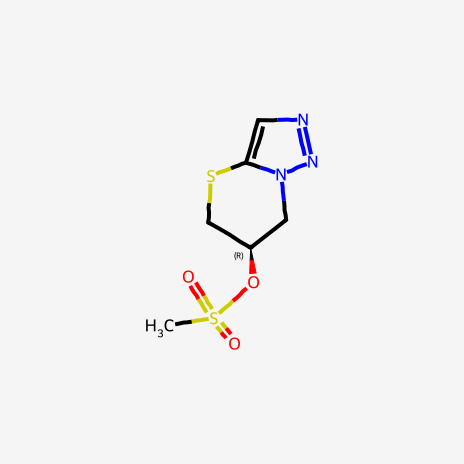 CS(=O)(=O)O[C@H]1CSc2cnnn2C1